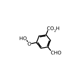 O=Cc1cc(OO)cc(C(=O)O)c1